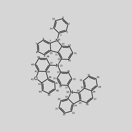 c1ccc(-n2c3ccccc3c3c(N(c4ccc(-n5c6ccccc6c6ccc7ccccc7c65)cc4)c4cccc5oc6ccccc6c45)cccc32)cc1